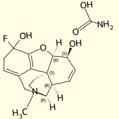 CN1CC[C@]23C4=C5O[C@H]2[C@@H](O)C=C[C@H]3[C@H]1CC4=CCC5(O)F.NC(=O)O